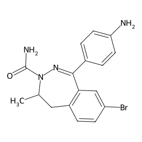 CC1Cc2ccc(Br)cc2C(c2ccc(N)cc2)=NN1C(N)=O